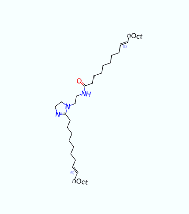 CCCCCCCC/C=C/CCCCCCCC(=O)NCCN1CCN=C1CCCCCCC/C=C/CCCCCCCC